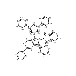 C1=C(c2ccccc2)CCc2c1c1c3ccccc3c3c4ccccc4sc3c1n2-c1nc(-c2ccccc2)cc(-c2ccccc2)n1